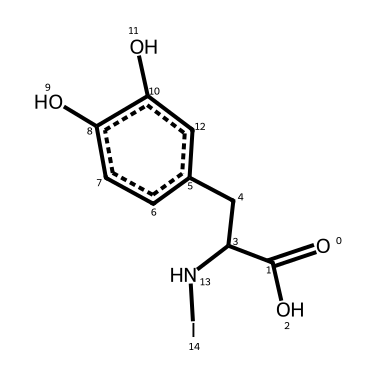 O=C(O)C(Cc1ccc(O)c(O)c1)NI